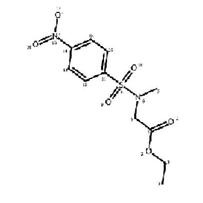 CCOC(=O)CN(C)S(=O)(=O)c1ccc([N+](=O)[O-])cc1